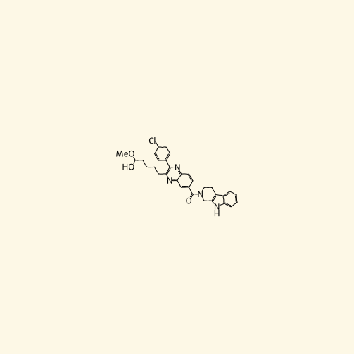 COC(O)CCCCc1nc2cc(C(=O)N3CCc4c([nH]c5ccccc45)C3)ccc2nc1C1=CCC(Cl)C=C1